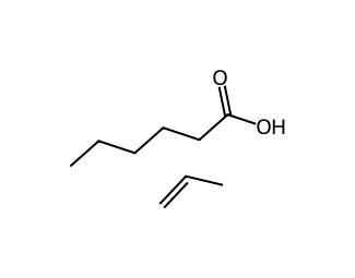 C=CC.CCCCCC(=O)O